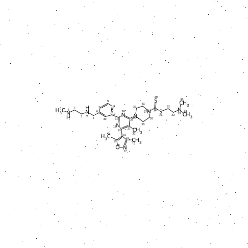 CNCCNCc1cccc(-c2nc(-c3c(C)noc3C)c(C)c(N3CCN(C(=S)SCCN(C)C)CC3)n2)c1